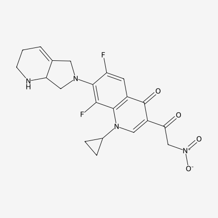 O=C(C[N+](=O)[O-])c1cn(C2CC2)c2c(F)c(N3CC4=CCCNC4C3)c(F)cc2c1=O